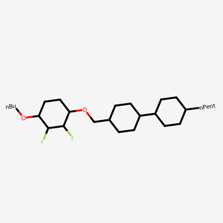 CCCCCC1CCC(C2CCC(COC3CCC(OCCCC)C(F)C3F)CC2)CC1